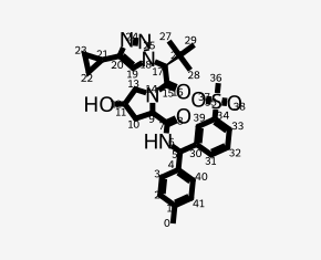 Cc1ccc(C(NC(=O)C2CC(O)CN2C(=O)[C@@H](n2cc(C3CC3)nn2)C(C)(C)C)c2cccc(S(C)(=O)=O)c2)cc1